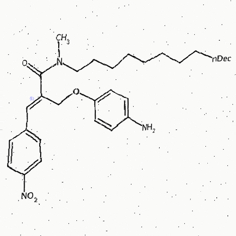 CCCCCCCCCCCCCCCCCCN(C)C(=O)/C(=C/c1ccc([N+](=O)[O-])cc1)COc1ccc(N)cc1